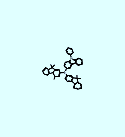 CC1C=C(N(c2ccc3c(c2)C(C)(C)c2ccccc2-3)c2ccc3c(c2)c2ccccc2n3-c2ccccc2)C=C2C1C1=C(C=CCC1)C2(C)C